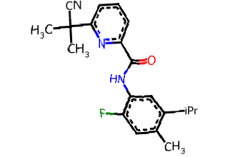 Cc1cc(F)c(NC(=O)c2cccc(C(C)(C)C#N)n2)cc1C(C)C